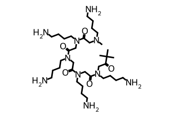 CN(CCCCN)CC(=O)N(CCCCN)CC(=O)N(CCCCN)CC(=O)N(CCCCN)CC(=O)N(CCCCN)CC(=O)C(C)(C)C